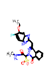 CCOc1cc2nc(Cc3nn(C(C(=O)NC)[SH](=O)=O)c(=O)c4ccccc34)[nH]c2cc1F